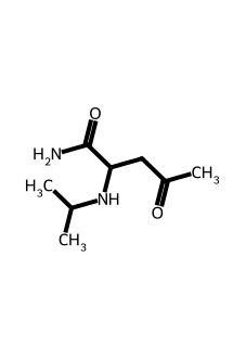 CC(=O)CC(NC(C)C)C(N)=O